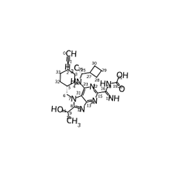 C#C[C@H]1CC[C@H](Cn2c(C(C)O)nc3nc(C(=N)NC(=O)O)nc(N[C@H](C)C4CCC4)c32)CC1